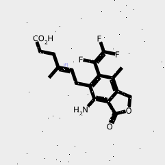 C/C(=C\Cc1c(N)c2c(c(C)c1C(F)=C(F)F)COC2=O)CCC(=O)O